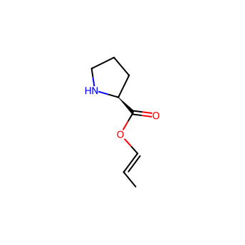 CC=COC(=O)[C@@H]1CCCN1